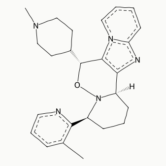 Cc1cccnc1[C@@H]1CCC[C@@H]2c3nc4ccccn4c3[C@@H](C3CCN(C)CC3)ON21